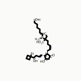 CCCCCCCCCCCCCCCCN(C)C(CC=O)(CC/C=C\C[C@@H]1[C@@H](/C=C/C[C@H](O)C2(CC)CCC2)[C@H](O)C[C@H]1Cl)C(=O)O